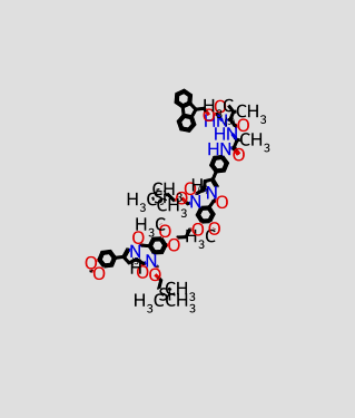 COc1cc2c(cc1OCCCOc1cc3c(cc1OC)C(=O)N1C=C(c4ccc5c(c4)OCO5)C[C@H]1C(=O)N3COCC[Si](C)(C)C)N(COCC[Si](C)(C)C)C(=O)[C@@H]1CC(c3ccc(NC(=O)C(C)NC(=O)[C@@H](NC(=O)OCC4c5ccccc5-c5ccccc54)C(C)C)cc3)=CN1C2=O